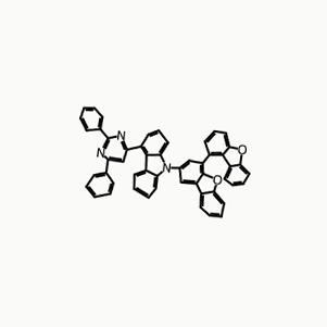 c1ccc(-c2cc(-c3cccc4c3c3ccccc3n4-c3cc(-c4cccc5oc6ccccc6c45)c4oc5ccccc5c4c3)nc(-c3ccccc3)n2)cc1